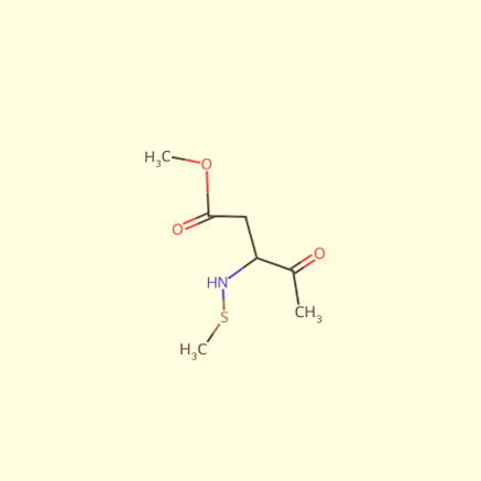 COC(=O)CC(NSC)C(C)=O